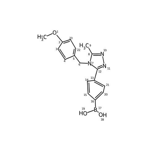 COc1ccc(Cn2c(C)nnc2-c2ccc(B(O)O)cc2)cc1